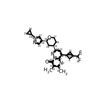 Cc1nc2c(C34CC(C(F)F)(C3)C4)cc([C@@H]3CCO[C@H](c4cnn(C5CC5)c4)C3)nn2c(=O)c1C